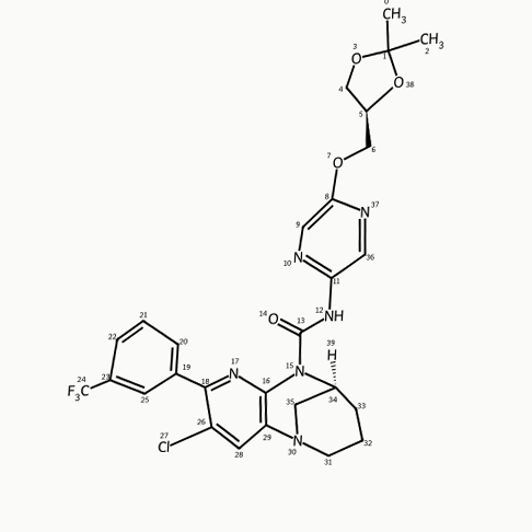 CC1(C)OC[C@H](COc2cnc(NC(=O)N3c4nc(-c5cccc(C(F)(F)F)c5)c(Cl)cc4N4CCC[C@H]3C4)cn2)O1